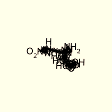 Nc1ncnc2c1nc(NCCCCCCNc1ccc([N+](=O)[O-])cc1[N+](=O)[O-])n2[C@@H]1O[C@H](COP(=O)(O)OP(=O)(O)OP(=O)(O)O)[C@@H](O)[C@H]1O